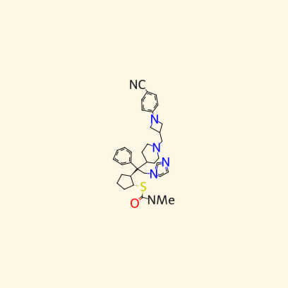 CNC(=O)S[C@@H]1CCC[C@H]1C(Cn1ccnc1)(c1ccccc1)C1CCN(CC2CN(c3ccc(C#N)cc3)C2)CC1